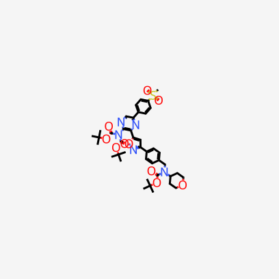 CC(C)(C)OC(=O)N(C(=O)OC(C)(C)C)c1ncc(-c2ccc(S(C)(=O)=O)cc2)nc1-c1cc(-c2ccc(CN(C(=O)OC(C)(C)C)C3CCOCC3)cc2)no1